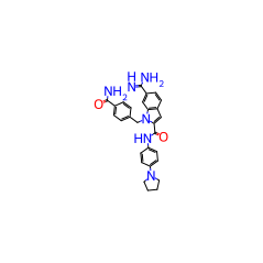 N=C(N)c1ccc2cc(C(=O)Nc3ccc(N4CCCC4)cc3)n(Cc3ccc(C(N)=O)cc3)c2c1